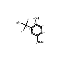 CNc1cc(C(C)(F)F)c(O)cn1